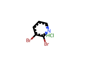 Brc1cccnc1Br.Cl